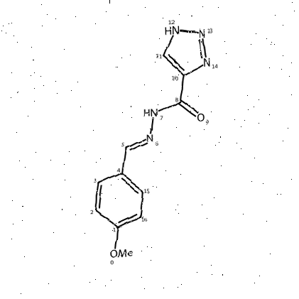 COc1ccc(C=NNC(=O)c2c[nH]nn2)cc1